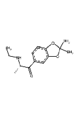 BCN[C@@H](C)C(=O)c1ccc2c(c1)OC(B)(B)O2